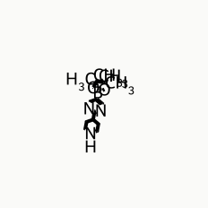 CC1(C)OB(c2cnc(C3CCNCC3)nc2)OC1(C)C